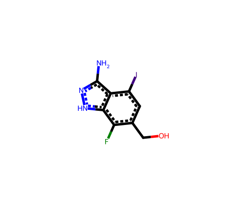 Nc1n[nH]c2c(F)c(CO)cc(I)c12